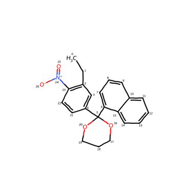 CCc1cc(C2(c3cccc4ccccc34)OCCCO2)ccc1[N+](=O)[O-]